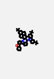 CC(C)(C)c1cc2ccc3c4c5c(c6ccc(c1)c2c36)-n1c2ccc3oc6ccccc6c3c2c2cccc(c21)B5n1c2ccc(C(C)(C)C)cc2c2cc(C(C)(C)C)cc-4c21